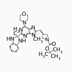 Cn1c(C=C2CN(C(=O)OC(C)(C)C)C2)nc2c(N3CCOCC3)nc(C3(C)Nc4ccccc4N3)nc21